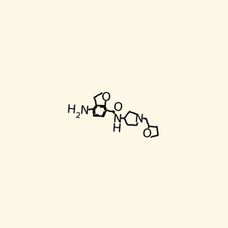 Nc1ccc(C(=O)NC2CCN(CC3CCCO3)CC2)c2c1CCO2